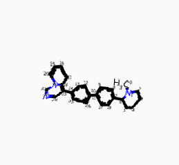 CN1CCCCC1c1ccc(-c2ccc(C3=C4C=CC=CN4CN=C3)cc2)cc1